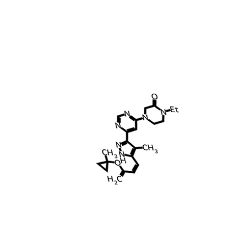 C=C(/C=C\c1[nH]nc(-c2cc(N3CCN(CC)C(=O)C3)ncn2)c1C)OC1(C)CC1